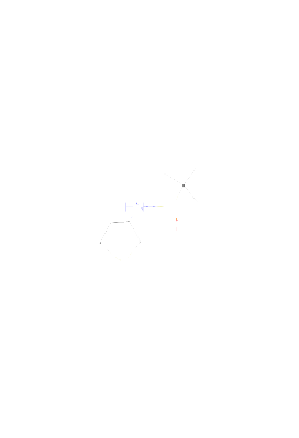 CC(C)(C)[S@@+]([O-])N[C@H]1CCSC1